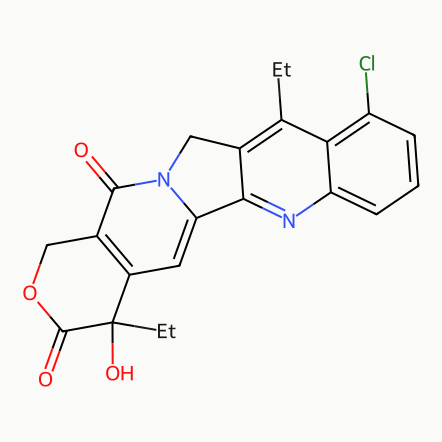 CCc1c2c(nc3cccc(Cl)c13)-c1cc3c(c(=O)n1C2)COC(=O)C3(O)CC